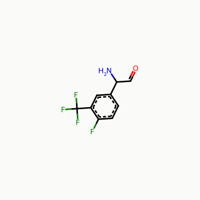 NC(C=O)c1ccc(F)c(C(F)(F)F)c1